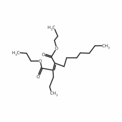 CCCCCCC/C(C(=O)OCCC)=C(\CCC)C(=O)OCCC